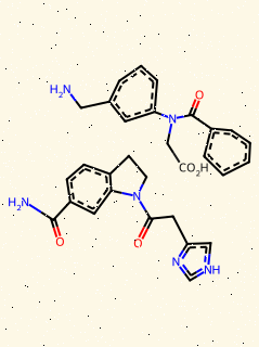 NC(=O)c1ccc2c(c1)N(C(=O)Cc1c[nH]cn1)CC2.NCc1cccc(N(CC(=O)O)C(=O)c2ccccc2)c1